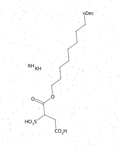 CCCCCCCCCCCCCCCCCCOC(=O)C(CC(=O)O)S(=O)(=O)O.[KH].[KH]